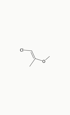 COC(C)=CCl